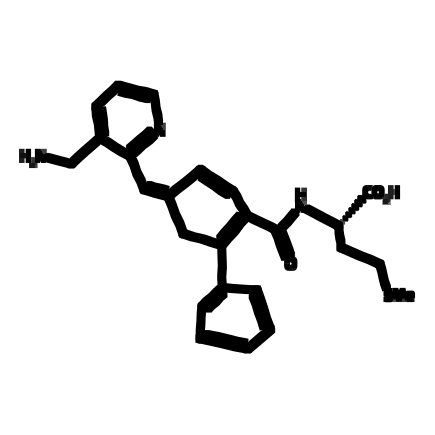 CSCC[C@H](NC(=O)C1=C(c2ccccc2)CC(=Cc2ncccc2CN)C=C1)C(=O)O